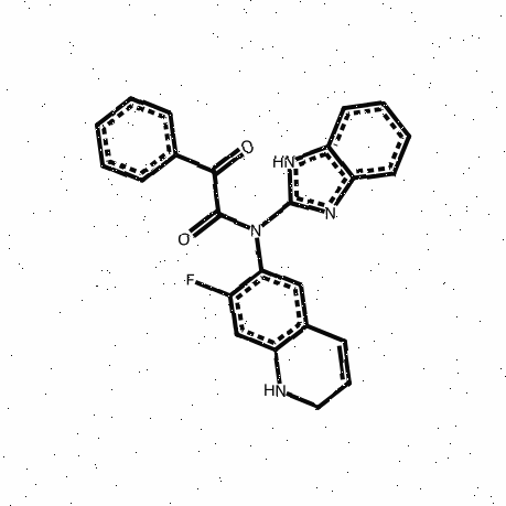 O=C(C(=O)N(c1nc2ccccc2[nH]1)c1cc2c(cc1F)NCC=C2)c1ccccc1